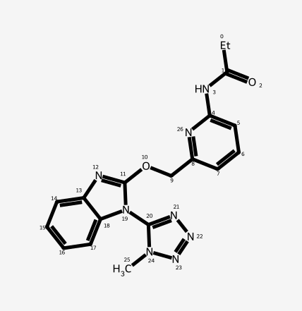 CCC(=O)Nc1cccc(COc2nc3ccccc3n2-c2nnnn2C)n1